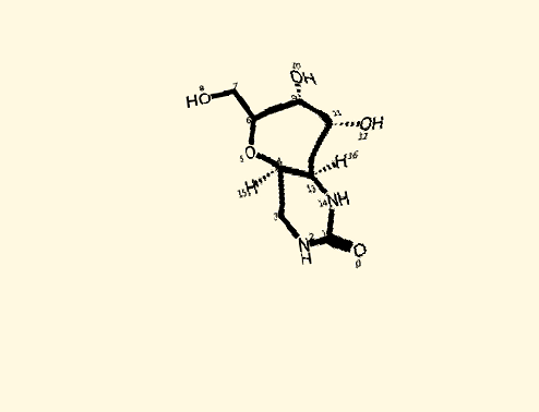 O=C1NC[C@H]2OC(CO)[C@H](O)[C@H](O)[C@H]2N1